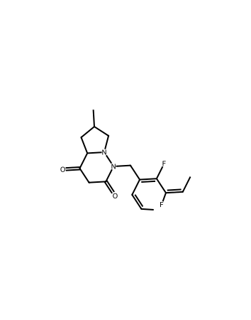 C\C=C/C(CN1C(=O)CC(=O)C2CC(C)CN21)=C(F)\C(F)=C/C